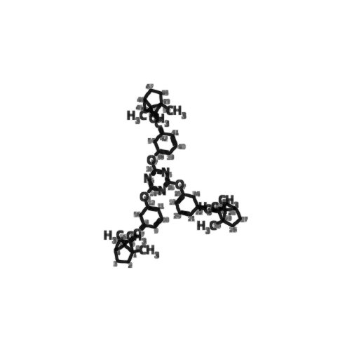 CC12CCC(CC1=C=C1C=CC=C(Oc3nc(OC4=CC=CC(=C=C5CC6CCC5(C)C6(C)C)C4)nc(OC4=CC=CC(=C=C5CC6CCC5(C)C6(C)C)C4)n3)C1)C2(C)C